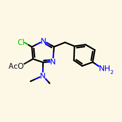 CC(=O)Oc1c(Cl)nc(Cc2ccc(N)cc2)nc1N(C)C